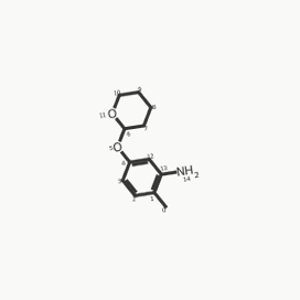 Cc1ccc(OC2CCCCO2)cc1N